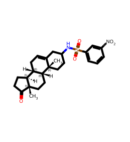 C[C@]12CCC(NS(=O)(=O)c3cccc([N+](=O)[O-])c3)CC1=CC[C@@H]1[C@H]2CC[C@]2(C)C(=O)CC[C@@H]12